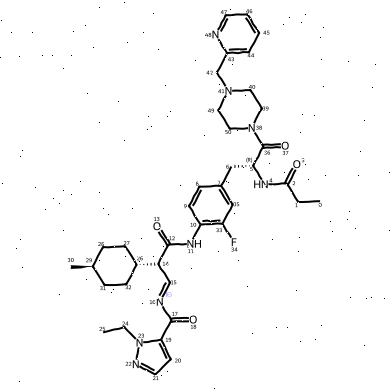 CCC(=O)N[C@H](Cc1ccc(NC(=O)C(/C=N/C(=O)c2ccnn2CC)[C@H]2CC[C@H](C)CC2)c(F)c1)C(=O)N1CCN(Cc2ccccn2)CC1